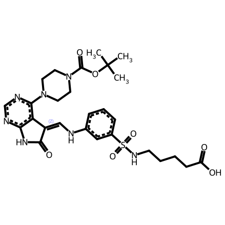 CC(C)(C)OC(=O)N1CCN(c2ncnc3c2/C(=C/Nc2cccc(S(=O)(=O)NCCCCC(=O)O)c2)C(=O)N3)CC1